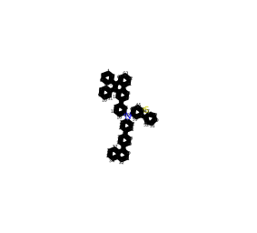 c1ccc(-c2c(-c3ccccc3)c3cc(-c4cccc(N(c5ccc(-c6ccc(-c7cccc8ccccc78)cc6)cc5)c5ccc6sc7ccccc7c6c5)c4)ccc3c3ccccc23)cc1